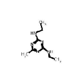 CCNc1nc(C)nc(NCC)n1